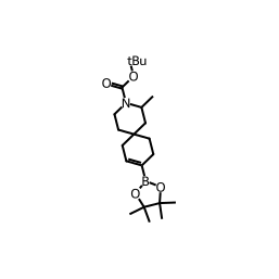 CC1CC2(CC=C(B3OC(C)(C)C(C)(C)O3)CC2)CCN1C(=O)OC(C)(C)C